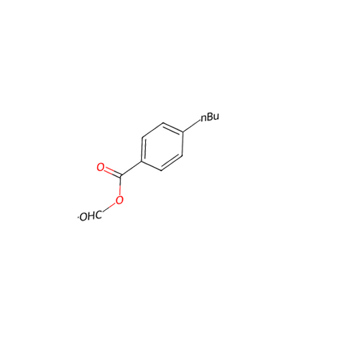 CCCCc1ccc(C(=O)O[C]=O)cc1